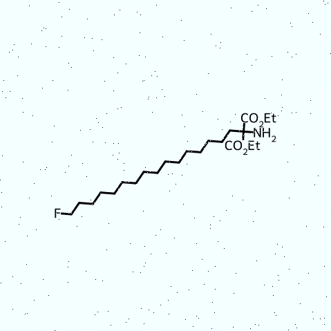 CCOC(=O)C(N)(CCCCCCCCCCCCCCCCF)C(=O)OCC